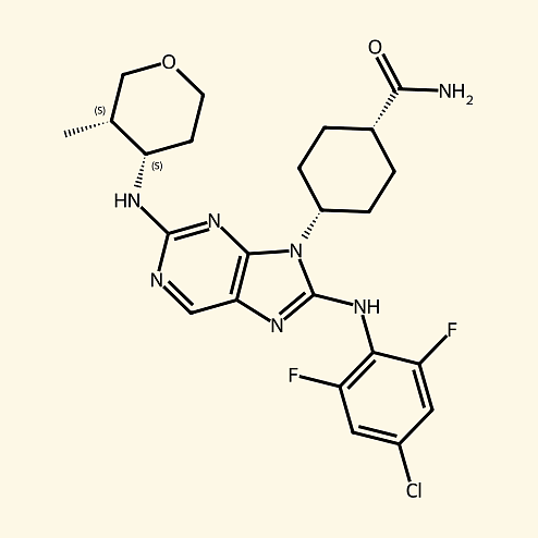 C[C@@H]1COCC[C@@H]1Nc1ncc2nc(Nc3c(F)cc(Cl)cc3F)n([C@H]3CC[C@@H](C(N)=O)CC3)c2n1